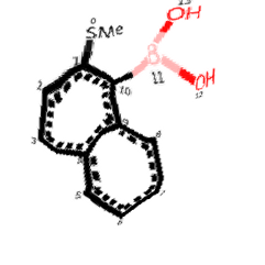 CSc1ccc2ccccc2c1B(O)O